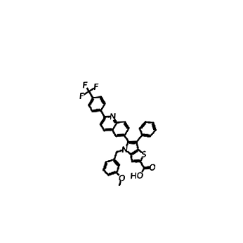 COc1cccc(Cn2c(-c3ccc4nc(-c5ccc(C(F)(F)F)cc5)ccc4c3)c(-c3ccccc3)c3sc(C(=O)O)cc32)c1